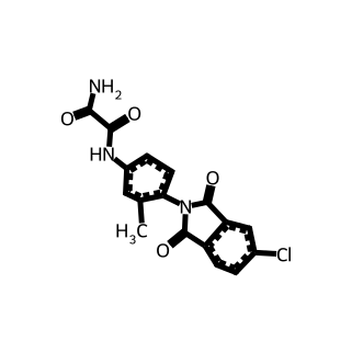 Cc1cc(NC(=O)C(N)=O)ccc1N1C(=O)c2ccc(Cl)cc2C1=O